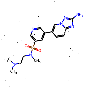 CN(C)CCN(C)S(=O)(=O)c1cncc(-c2ccc3nc(N)nn3c2)c1